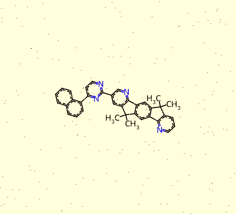 CC1(C)c2cc3c(cc2-c2ncccc21)C(C)(C)c1cc(-c2nccc(-c4cccc5ccccc45)n2)cnc1-3